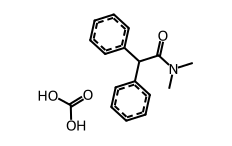 CN(C)C(=O)C(c1ccccc1)c1ccccc1.O=C(O)O